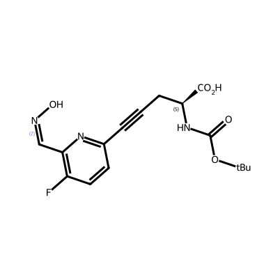 CC(C)(C)OC(=O)N[C@@H](CC#Cc1ccc(F)c(/C=N\O)n1)C(=O)O